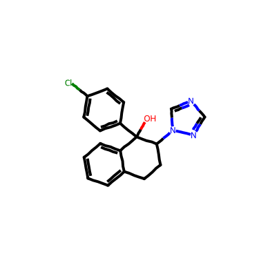 OC1(c2ccc(Cl)cc2)c2ccccc2CCC1n1cncn1